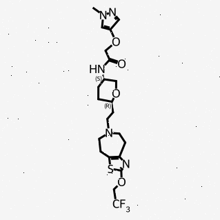 Cn1cc(OCC(=O)N[C@H]2CC[C@H](CCN3CCc4nc(OCC(F)(F)F)sc4CC3)OC2)cn1